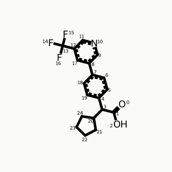 O=C(O)C(c1ccc(-c2cncc(C(F)(F)F)c2)cc1)C1CCCC1